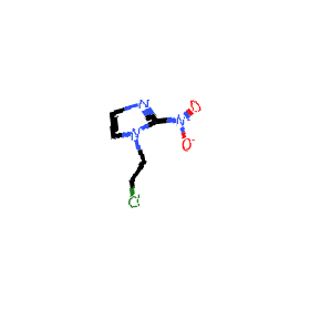 O=[N+]([O-])c1nccn1CCCl